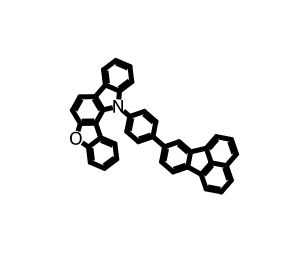 c1cc2c3c(cccc3c1)-c1cc(-c3ccc(-n4c5ccccc5c5ccc6oc7ccccc7c6c54)cc3)ccc1-2